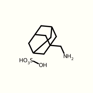 NCC12CC3CC(CC(C3)C1)C2.O=S(=O)(O)O